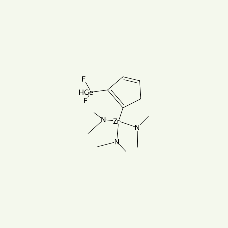 C[N](C)[Zr]([C]1=[C]([GeH]([F])[F])C=CC1)([N](C)C)[N](C)C